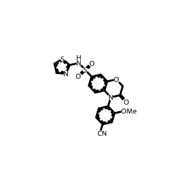 COc1cc(C#N)ccc1N1C(=O)COc2cc(S(=O)(=O)Nc3nccs3)ccc21